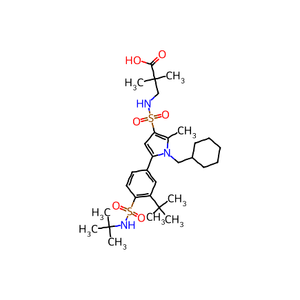 Cc1c(S(=O)(=O)NCC(C)(C)C(=O)O)cc(-c2ccc(S(=O)(=O)NC(C)(C)C)c(C(C)(C)C)c2)n1CC1CCCCC1